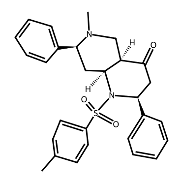 Cc1ccc(S(=O)(=O)N2[C@H](c3ccccc3)CC(=O)[C@@H]3CN(C)[C@H](c4ccccc4)C[C@@H]32)cc1